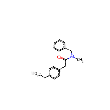 CN(Cc1ccccc1)C(=O)Cc1ccc(CC(=O)O)cc1